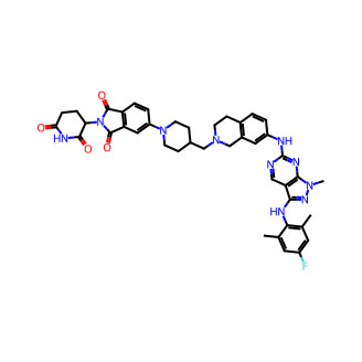 Cc1cc(F)cc(C)c1Nc1nn(C)c2nc(Nc3ccc4c(c3)CN(CC3CCN(c5ccc6c(c5)C(=O)N(C5CCC(=O)NC5=O)C6=O)CC3)CC4)ncc12